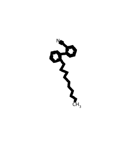 CCCCCCCCCCc1ccccc1-c1ccccc1C#N